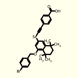 CC1(C)CCC(C)(C)c2c(OCc3ccc(Br)cc3)cc([Se]C#Cc3ccc(C(=O)O)cc3)cc21